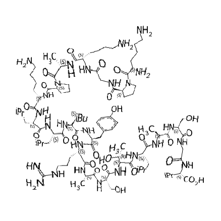 CC[C@H](C)[C@H](NC(=O)[C@H](CC(C)C)NC(=O)[C@H](CC(C)C)NC(=O)[C@H](CCCCN)NC(=O)[C@@H]1CCCN1C(=O)[C@H](C)NC(=O)[C@H](CCCCN)NC(=O)CNC(=O)[C@@H]1CCCN1C(=O)[C@@H](N)CCCCN)C(=O)N[C@@H](Cc1ccc(O)cc1)C(=O)N[C@@H](CCCNC(=N)N)C(=O)N[C@@H](C)C(=O)N[C@@H](CO)C(=O)N[C@H](C(=O)N[C@@H](CC(C)C)C(=O)N[C@@H](C)C(=O)N[C@@H](CO)C(=O)NCC(=O)N[C@H](C(=O)O)C(C)C)[C@@H](C)O